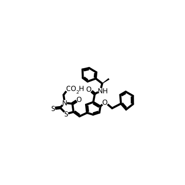 C[C@@H](NC(=O)c1cc(C=C2SC(=S)N(CC(=O)O)C2=O)ccc1OCc1ccccc1)c1ccccc1